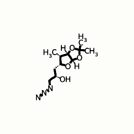 C[C@@H]1[C@H]2OC(C)(C)O[C@H]2O[C@@H]1C[C@H](O)CN=[N+]=[N-]